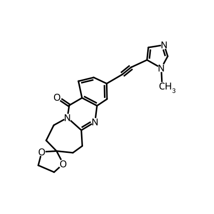 Cn1cncc1C#Cc1ccc2c(=O)n3c(nc2c1)CCC1(CC3)OCCO1